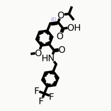 COc1ccc(/C=C(/OC(C)C)C(=O)O)cc1C(=O)NCc1ccc(C(F)(F)F)cc1